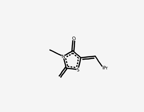 C=c1s/c(=C\C(C)C)c(=O)n1C